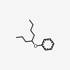 C[CH]CC(CCCC)Oc1ccccc1